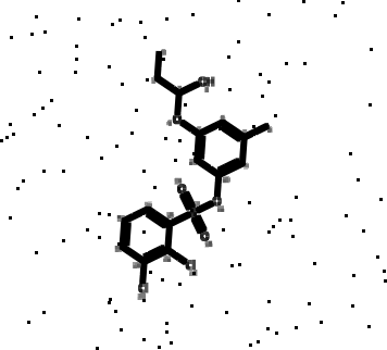 CCC(O)Oc1cc(C)cc(OS(=O)(=O)c2cccc(Cl)c2Cl)c1